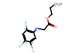 CCOC(=O)CCOC(=O)CNc1cc(F)c(F)cc1F